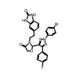 O=C1COC(c2nn(-c3ccc(Br)cc3)nc2-c2ccc(F)cc2)N1CCc1ccc2[nH]c(=O)[nH]c2c1